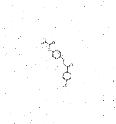 C=C(C)C(=O)Oc1ccc(C=CC(=O)c2ccc(OC)cc2)cc1